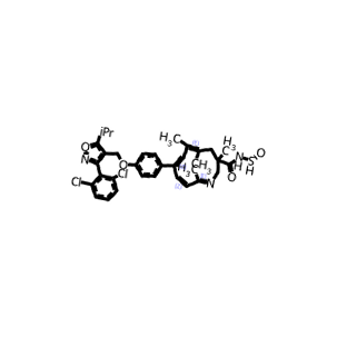 CC1=N\CC(C)(C(=O)N[SH]=O)C/C(C)=C(C)/C=C(c2ccc(OCc3c(-c4c(Cl)cccc4Cl)noc3C(C)C)cc2)/C=C\1